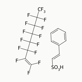 FC(F)=C(F)C(F)(F)C(F)(F)C(F)(F)C(F)(F)C(F)(F)C(F)(F)F.O=S(=O)(O)C=Cc1ccccc1